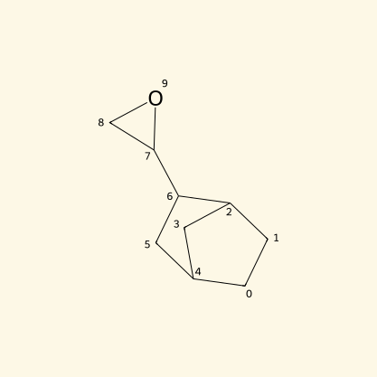 C1CC2CC1CC2C1CO1